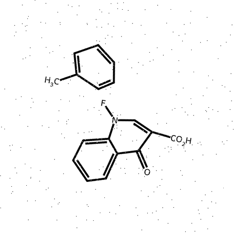 Cc1ccccc1.O=C(O)c1cn(F)c2ccccc2c1=O